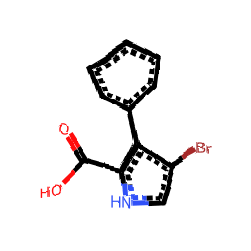 O=C(O)c1[nH]cc(Br)c1-c1ccccc1